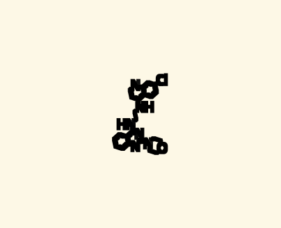 Clc1ccc2c(NCCNc3nc(N4CCOCC4)nc4ccccc34)ccnc2c1